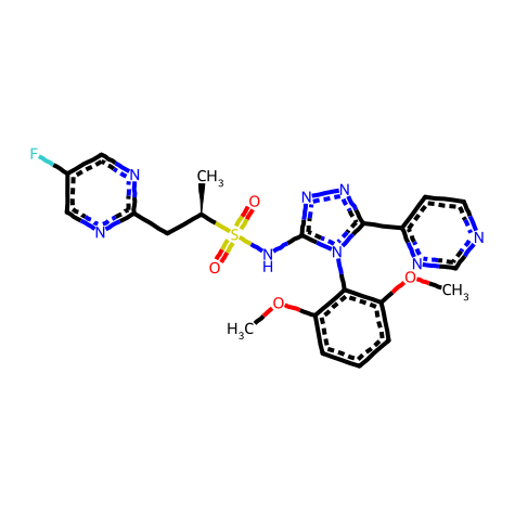 COc1cccc(OC)c1-n1c(NS(=O)(=O)[C@H](C)Cc2ncc(F)cn2)nnc1-c1ccncn1